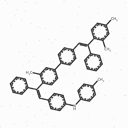 Cc1ccc(Nc2ccc(C=C(c3ccccc3)c3ccc(-c4ccc(C=C(c5ccccc5)c5ccc(C)cc5C)cc4)cc3C)cc2)cc1